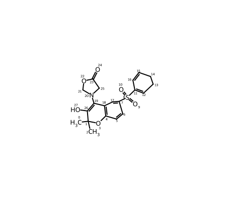 CC1(C)Oc2ccc(S(=O)(=O)C3=CCCC=C3)cc2C(N2COC(=O)C2)=C1O